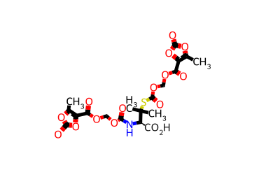 Cc1oc(=O)oc1C(=O)OCOC(=O)N[C@@H](C(=O)O)C(C)(C)SC(=O)OCOC(=O)c1oc(=O)oc1C